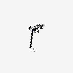 CCCCCCCCCCCCC/C=C(/C)[C@@H](O)[C@@H](N)CCOP(=O)(O)O